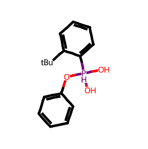 CC(C)(C)c1ccccc1[PH](O)(O)Oc1ccccc1